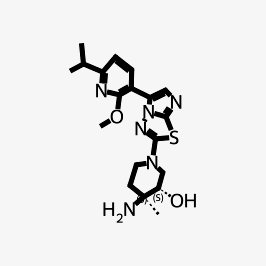 COc1nc(C(C)C)ccc1-c1cnc2sc(N3CC[C@](C)(N)[C@@H](O)C3)nn12